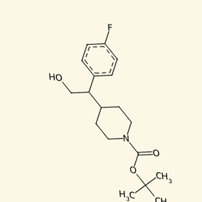 CC(C)(C)OC(=O)N1CCC(C(CO)c2ccc(F)cc2)CC1